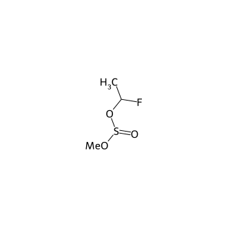 COS(=O)OC(C)F